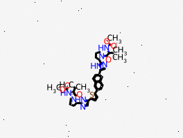 COC(=O)NC(C(=O)N1CCCC1c1ncc(-c2ccc3cc(-c4ccc(-c5cnc(C6CCCN6C(=O)[C@@H](NC(=O)OC)C(C)C)[nH]5)s4)ccc3c2)[nH]1)C(C)C